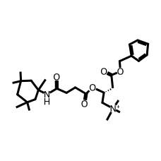 CC1(C)CC(C)(C)CC(C)(NC(=O)CCC(=O)O[C@H](CC(=O)OCc2ccccc2)C[N+](C)(C)C)C1